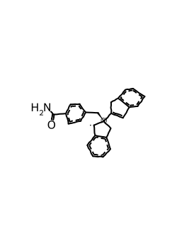 NC(=O)c1ccc(C[C@]2(C3=Cc4ccccc4C3)[CH]c3ccccc3C2)cc1